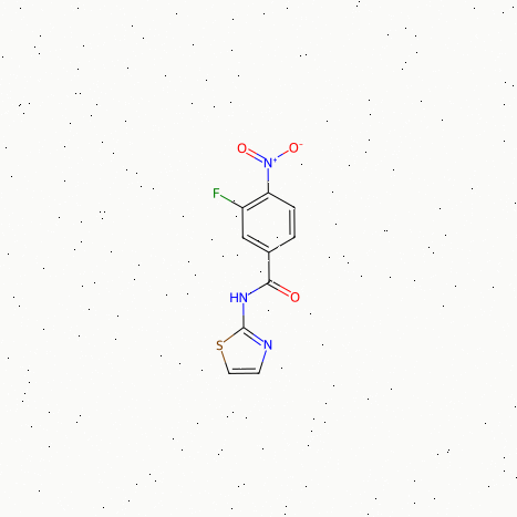 O=C(Nc1nccs1)c1ccc([N+](=O)[O-])c(F)c1